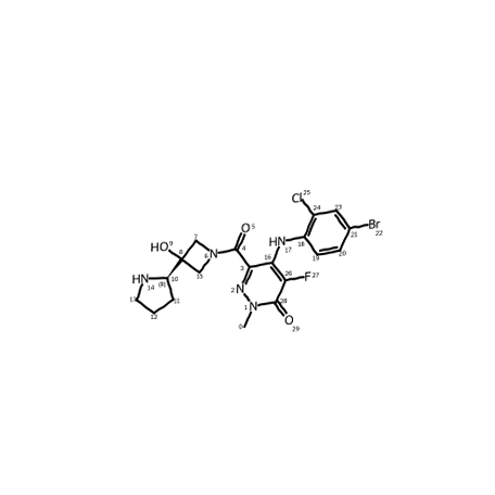 Cn1nc(C(=O)N2CC(O)([C@H]3CCCN3)C2)c(Nc2ccc(Br)cc2Cl)c(F)c1=O